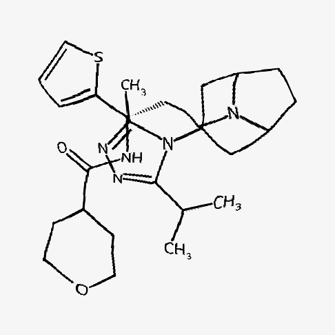 Cc1nnc(C(C)C)n1C1CC2CCC(C1)N2CC[C@H](NC(=O)C1CCOCC1)c1cccs1